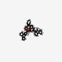 CC1(C)c2ccccc2-c2cccc(-c3cccc(N(c4ccc5c(c4)C4(CCCCC4)c4ccccc4-5)c4ccccc4-c4ccccc4-c4ccccc4-c4ccccc4)c3)c21